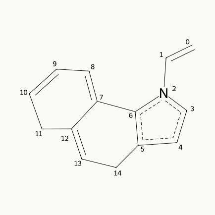 C=Cn1ccc2c1C1=CC=CCC1=CC2